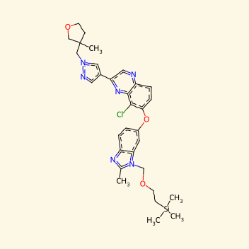 Cc1nc2ccc(Oc3ccc4ncc(-c5cnn(CC6(C)CCOC6)c5)nc4c3Cl)cc2n1COCC[Si](C)(C)C